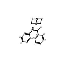 C1CN2CCN12.CC(Nc1ccccc1)c1ccccc1